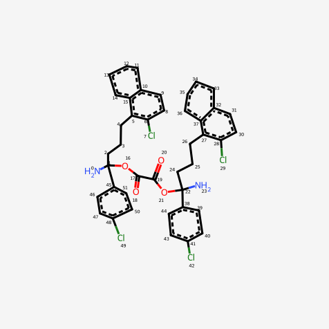 NC(CCCc1c(Cl)ccc2ccccc12)(OC(=O)C(=O)OC(N)(CCCc1c(Cl)ccc2ccccc12)c1ccc(Cl)cc1)c1ccc(Cl)cc1